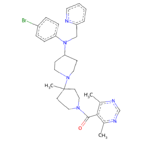 Cc1ncnc(C)c1C(=O)N1CCC(C)(N2CCC(N(Cc3ccccn3)c3ccc(Br)cc3)CC2)CC1